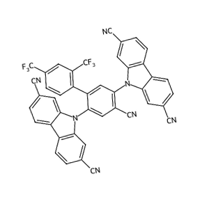 N#Cc1ccc2c3ccc(C#N)cc3n(-c3cc(-c4ccc(C(F)(F)F)cc4C(F)(F)F)c(-n4c5cc(C#N)ccc5c5ccc(C#N)cc54)cc3C#N)c2c1